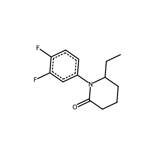 CCC1CCCC(=O)N1c1ccc(F)c(F)c1